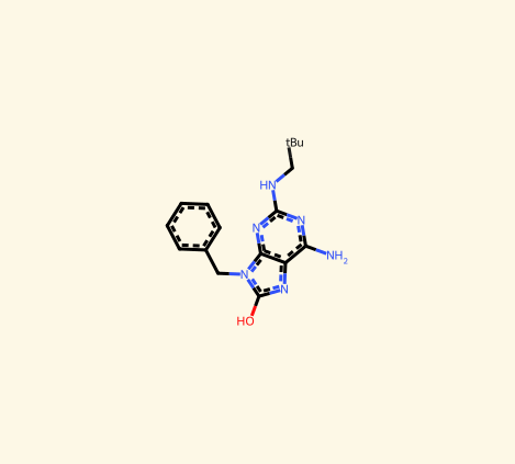 CC(C)(C)CNc1nc(N)c2nc(O)n(Cc3ccccc3)c2n1